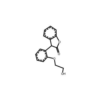 O=C1Oc2ccccc2C1c1ccccc1OCCO